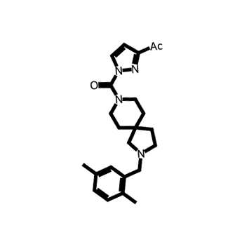 CC(=O)c1ccn(C(=O)N2CCC3(CCN(Cc4cc(C)ccc4C)C3)CC2)n1